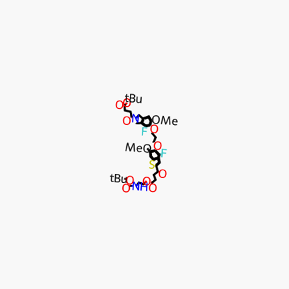 COc1cc2c(c(F)c1OCCCOc1c(OC)cc3sc(C(=O)CCC(=O)OCCNC(=O)OC(C)(C)C)cc3c1F)CN(C(=O)CCC(=O)OC(C)(C)C)C2